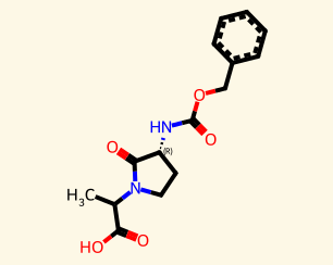 CC(C(=O)O)N1CC[C@@H](NC(=O)OCc2ccccc2)C1=O